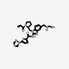 C=CC(=O)N1CCCC1Cn1c(NC(=O)c2ccc(-n3cncn3)s2)nc2cc(CNCC(C)C)ccc21